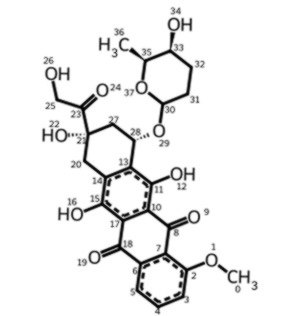 COc1cccc2c1C(=O)c1c(O)c3c(c(O)c1C2=O)C[C@@](O)(C(=O)CO)C[C@@H]3OC1CC[C@H](O)[C@H](C)O1